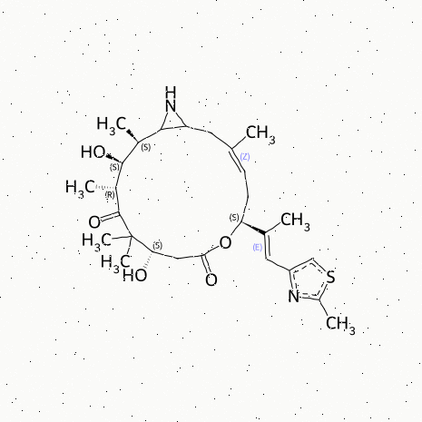 C/C1=C/C[C@@H](/C(C)=C/c2csc(C)n2)OC(=O)C[C@H](O)C(C)(C)C(=O)[C@H](C)[C@@H](O)[C@@H](C)C2NC2C1